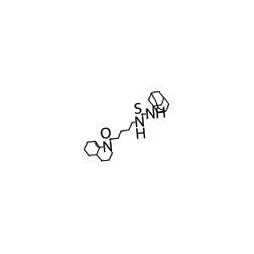 O=C(CCCCNC(=S)NC12CC3CC(CC(C3)C1)C2)N1CCCC2CCCC=C21